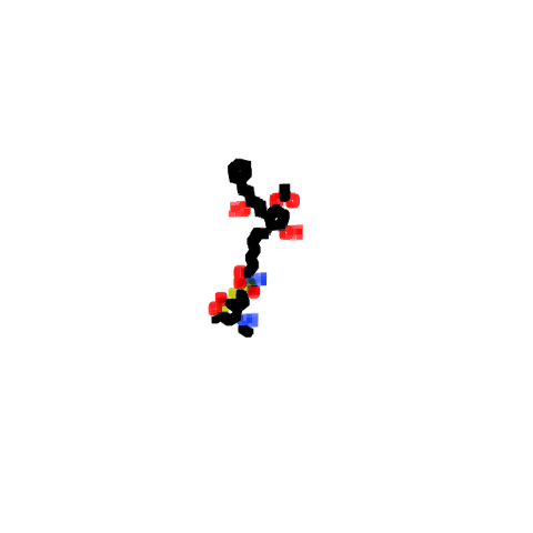 CCN[C@@H]1C[C@@H](C)S(=O)(=O)c2sc(S(=O)(=O)NC(=O)CCC/C=C\C[C@@H]3[C@@H](/C=C/[C@@H](O)CCc4ccccc4)[C@H](OC(C)=O)C[C@@H]3O)cc21